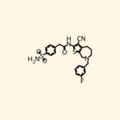 N#Cc1c(NC(=O)Cc2ccc(S(N)(=O)=O)cc2)sc2c1CCCN(Cc1cccc(F)c1)C2